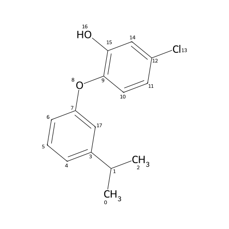 CC(C)c1cccc(Oc2ccc(Cl)cc2O)c1